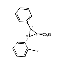 CCOC(=O)[C@@H]1[C@H](c2ccccc2)[C@H]1c1ccccc1Br